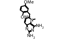 COc1ccc(OC)c(CC2C=Cc3nc(N)nc(N)c3N2C)c1